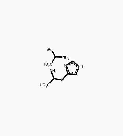 CCC(C)C(N)C(=O)O.NC(Cc1c[nH]cn1)C(=O)O